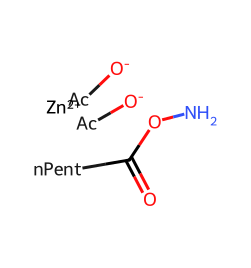 CC(=O)[O-].CC(=O)[O-].CCCCCC(=O)ON.[Zn+2]